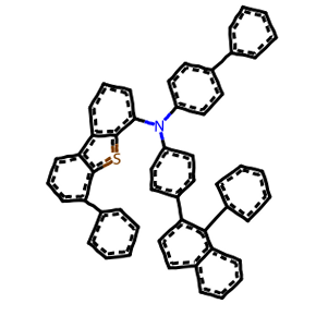 c1ccc(-c2ccc(N(c3ccc(-c4ccc5ccccc5c4-c4ccccc4)cc3)c3cccc4c3sc3c(-c5ccccc5)cccc34)cc2)cc1